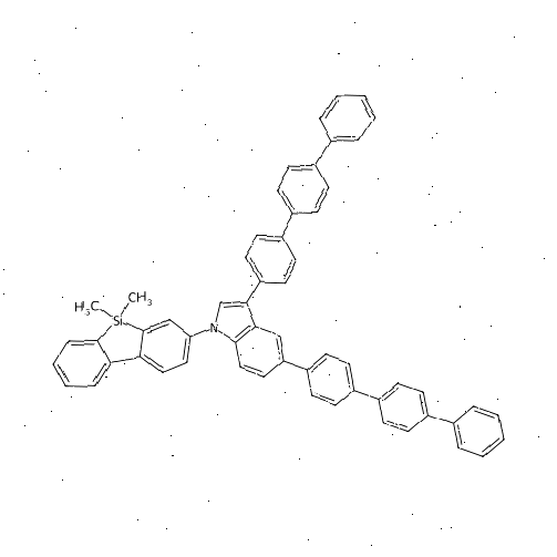 C[Si]1(C)c2ccccc2-c2ccc(-n3cc(-c4ccc(-c5ccc(-c6ccccc6)cc5)cc4)c4cc(-c5ccc(-c6ccc(-c7ccccc7)cc6)cc5)ccc43)cc21